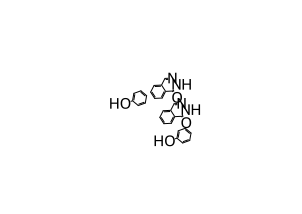 O=c1[nH]ncc2ccccc12.O=c1[nH]ncc2ccccc12.Oc1ccccc1.Oc1ccccc1